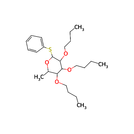 CCCCOC1C(C)OC(Sc2ccccc2)C(OCCCC)C1OCCCC